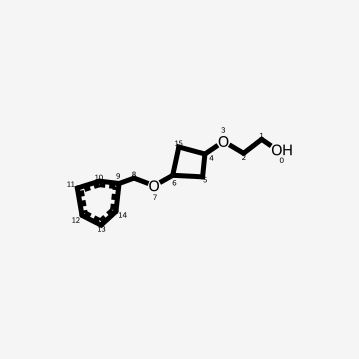 OCCOC1CC(OCc2ccccc2)C1